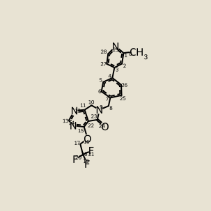 Cc1cc(-c2ccc(CN3Cc4ncnc(OCC(F)(F)F)c4C3=O)cc2)ccn1